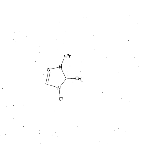 CCCN1N=CN(Cl)C1C